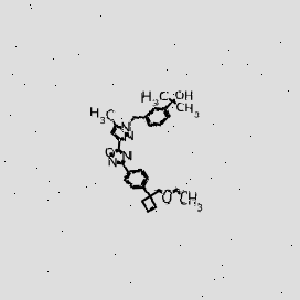 CCOCC1(c2ccc(-c3noc(-c4cc(C)n(Cc5cccc(C(C)(C)O)c5)n4)n3)cc2)CCC1